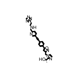 C[C@H](O)c1nccn1Cc1cc(-c2ccc(C#Cc3ccc(CNCCn4ncnn4)nc3)cc2)on1